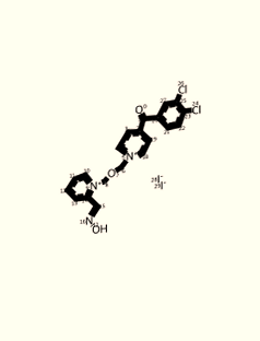 O=C(c1cc[n+](COC[n+]2ccccc2C=NO)cc1)c1ccc(Cl)c(Cl)c1.[I-].[I-]